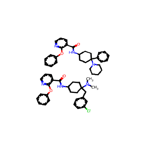 CN(C)C1(Cc2cccc(Cl)c2)CCC(NC(=O)c2cccnc2Oc2ccccc2)CC1.O=C(NC1CCC(c2ccccc2)(N2CCCCC2)CC1)c1cccnc1Oc1ccccc1